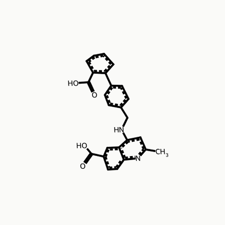 Cc1cc(NCc2ccc(-c3ccccc3C(=O)O)cc2)c2cc(C(=O)O)ccc2n1